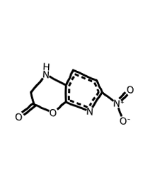 O=C1CNc2ccc([N+](=O)[O-])nc2O1